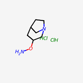 Cl.Cl.NOC1CC2CCN(C2)C1